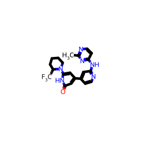 Cc1nccc(Nc2cc(-c3cc(N4CCCCC4C(F)(F)F)[nH]c(=O)c3)ccn2)n1